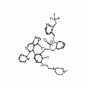 Cc1c(-c2c(-c3ccccn3)ncc3snc(O[C@H](Cc4ccccc4OCc4ccnn4CC(F)(F)F)C(=O)O)c23)ccc(OCCN2CCN(C)CC2)c1Cl